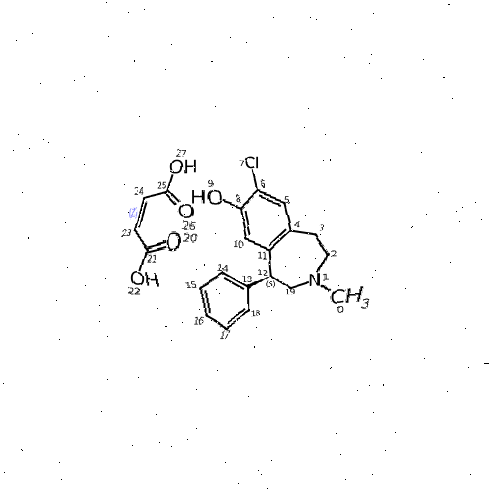 CN1CCc2cc(Cl)c(O)cc2[C@H](c2ccccc2)C1.O=C(O)/C=C\C(=O)O